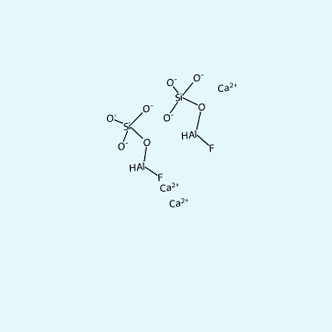 [Ca+2].[Ca+2].[Ca+2].[O-][Si]([O-])([O-])[O][AlH][F].[O-][Si]([O-])([O-])[O][AlH][F]